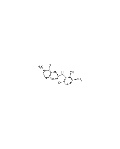 Cn1cnc2ccc(Nc3c(Cl)ccc(N)c3C#N)cc2c1=O